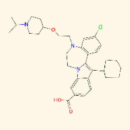 CC(C)N1CCC(OCCN2CCn3c(c(C4CCCCC4)c4ccc(C(=O)O)cc43)-c3ccc(Cl)cc32)CC1